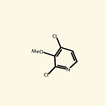 COc1c(Cl)ccnc1Cl